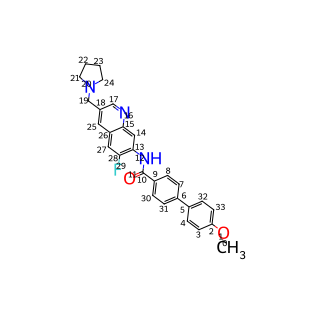 COc1ccc(-c2ccc(C(=O)Nc3cc4ncc(CN5CCCC5)cc4cc3F)cc2)cc1